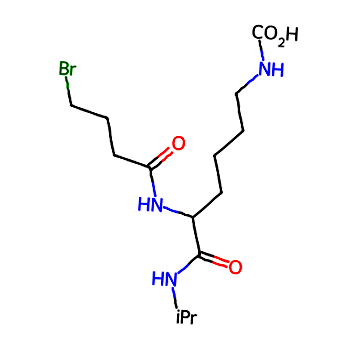 CC(C)NC(=O)C(CCCCNC(=O)O)NC(=O)CCCBr